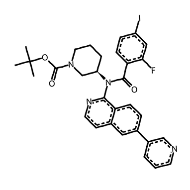 CC(C)(C)OC(=O)N1CCC[C@@H](N(C(=O)c2ccc(I)cc2F)c2nccc3cc(-c4cccnc4)ccc23)C1